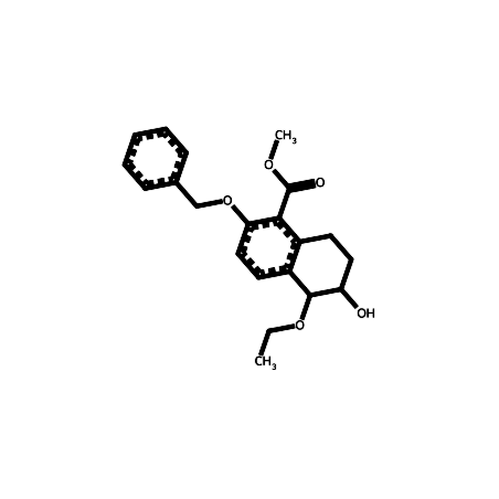 CCOC1c2ccc(OCc3ccccc3)c(C(=O)OC)c2CCC1O